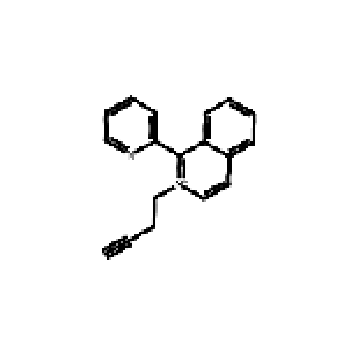 C#CCC[n+]1ccc2ccccc2c1-c1ccccn1